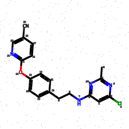 Cc1nc(Cl)cc(NCCc2ccc(Oc3ccc(C#N)cn3)cc2)n1